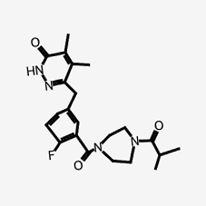 Cc1c(Cc2ccc(F)c(C(=O)N3CCN(C(=O)C(C)C)CC3)c2)n[nH]c(=O)c1C